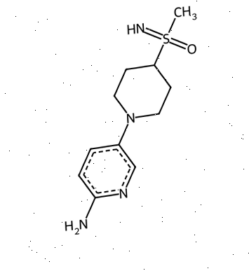 CS(=N)(=O)C1CCN(c2ccc(N)nc2)CC1